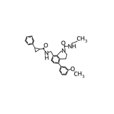 CCCNC(=O)N1CCc2c(-c3cccc(OC)c3)ccc(CNC(=O)C3CC3c3ccccc3)c2C1